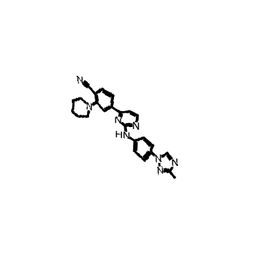 Cc1ncn(-c2ccc(Nc3nccc(-c4ccc(C#N)c(N5CCCCC5)c4)n3)cc2)n1